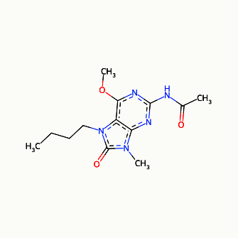 CCCCn1c(=O)n(C)c2nc(NC(C)=O)nc(OC)c21